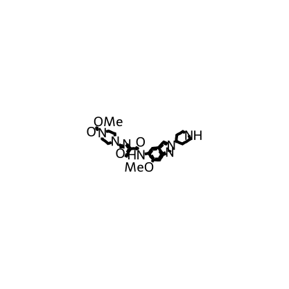 COC(=O)N1CCN(c2nc(C(=O)Nc3cc4cn(C5CCNCC5)nc4cc3OC)co2)CC1